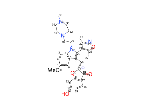 COc1ccc2c(c1)c(/C=C1\Oc3cc(O)ccc3C1=O)c(-c1c(C)noc1C)n2CCN1CCN(C)CC1